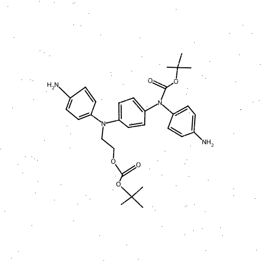 CC(C)(C)OC(=O)OCCN(c1ccc(N)cc1)c1ccc(N(C(=O)OC(C)(C)C)c2ccc(N)cc2)cc1